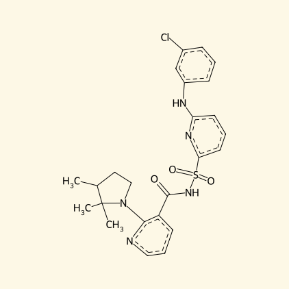 CC1CCN(c2ncccc2C(=O)NS(=O)(=O)c2cccc(Nc3cccc(Cl)c3)n2)C1(C)C